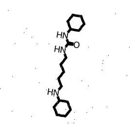 O=C(NCCCCCNC1CCCCC1)NC1CCCCC1